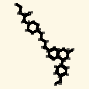 CCOC(=O)ON1CCN(CCCOc2ccc3c(c2)CN(C)CC3c2ccc(OC)cc2)CC1